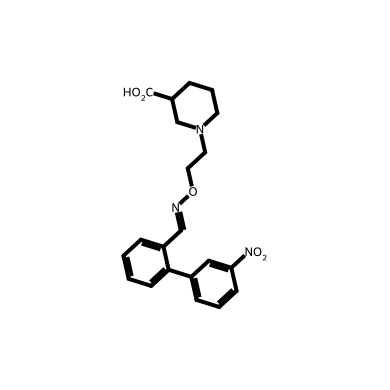 O=C(O)C1CCCN(CCON=Cc2ccccc2-c2cccc([N+](=O)[O-])c2)C1